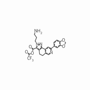 NCCCn1nc2c(c1C(=O)OC(=O)C(F)(F)F)CCc1cnc(-c3ccc4c(c3)OCO4)cc1-2